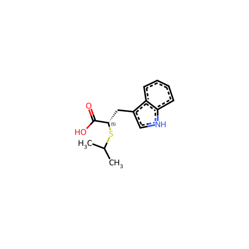 CC(C)S[C@@H](Cc1c[nH]c2ccccc12)C(=O)O